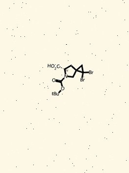 CC(C)(C)OC(=O)N1CC2(C[C@H]1C(=O)O)CC2(Br)Br